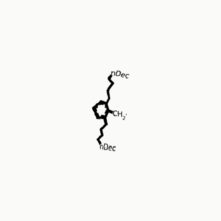 [CH2]c1c(CCCCCCCCCCCCCC)cccc1CCCCCCCCCCCCCC